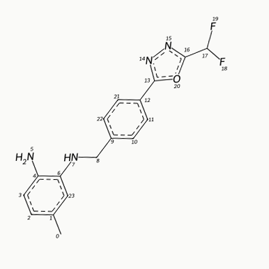 Cc1ccc(N)c(NCc2ccc(-c3nnc(C(F)F)o3)cc2)c1